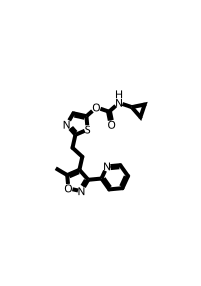 Cc1onc(-c2ccccn2)c1CCc1ncc(OC(=O)NC2CC2)s1